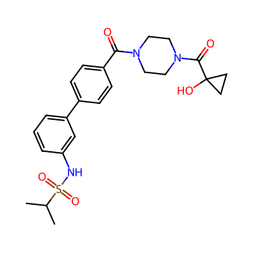 CC(C)S(=O)(=O)Nc1cccc(-c2ccc(C(=O)N3CCN(C(=O)C4(O)CC4)CC3)cc2)c1